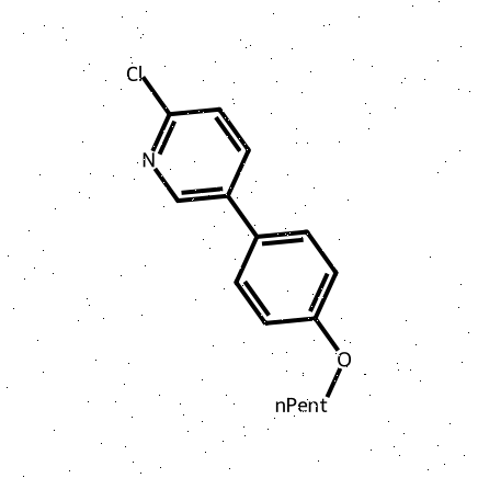 CCCCCOc1ccc(-c2ccc(Cl)nc2)cc1